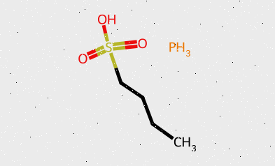 CCCCS(=O)(=O)O.P